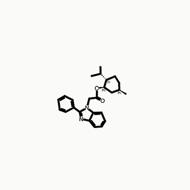 CC(C)[C@@H]1CC[C@@H](C)C[C@H]1OC(=O)Cn1c(-c2ccccc2)nc2ccccc21